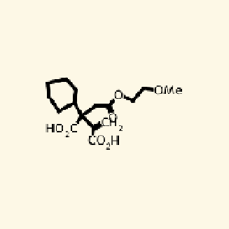 C=C(C(=O)O)C(CC(=O)OCCOC)(C(=O)O)C1CCCCC1